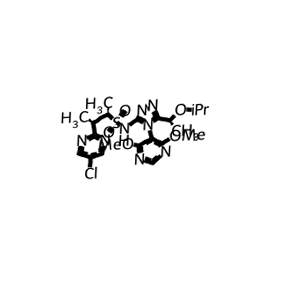 COc1ncnc(OC)c1-n1c(NS(=O)(=O)[C@@H](C)[C@H](C)c2ncc(Cl)cn2)nnc1[C@H](C)OC(C)C